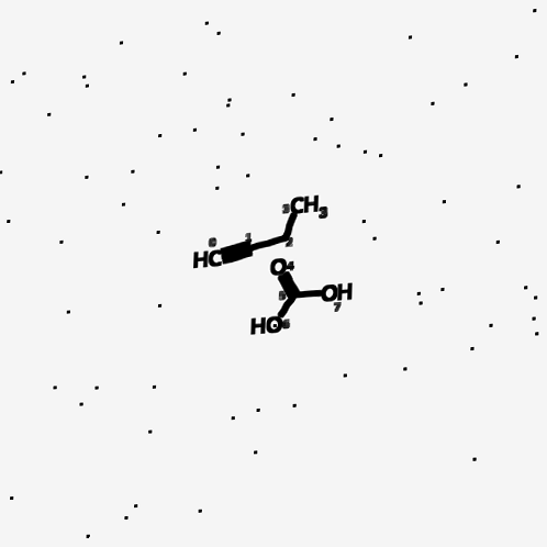 C#CCC.O=C(O)O